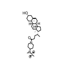 CC(CCC(=O)N1CCC(N(C)S(C)(=O)=O)CC1)[C@H]1CC[C@H]2[C@@H]3CC=C4C[C@@H](O)CC[C@]4(C)[C@H]3CC[C@]12C